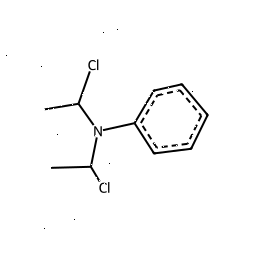 CC(Cl)N(c1ccccc1)C(C)Cl